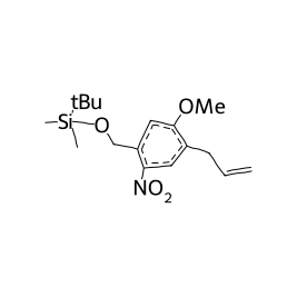 C=CCc1cc([N+](=O)[O-])c(CO[Si](C)(C)C(C)(C)C)cc1OC